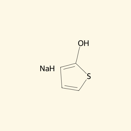 Oc1cccs1.[NaH]